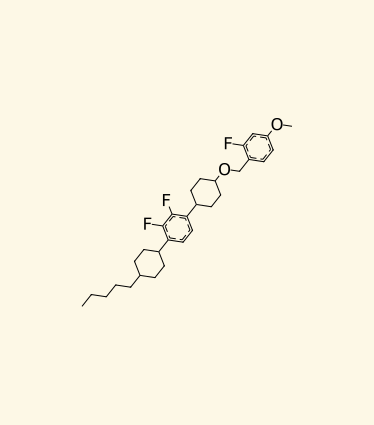 CCCCCC1CCC(c2ccc(C3CCC(OCc4ccc(OC)cc4F)CC3)c(F)c2F)CC1